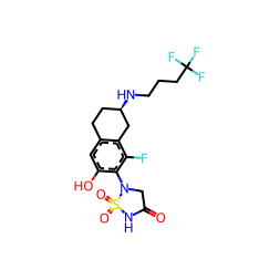 O=C1CN(c2c(O)cc3c(c2F)C[C@H](NCCCC(F)(F)F)CC3)S(=O)(=O)N1